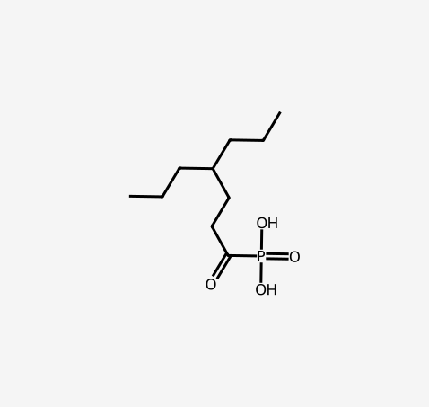 CCCC(CCC)CCC(=O)P(=O)(O)O